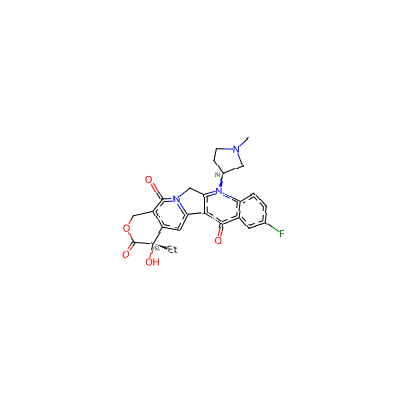 CC[C@@]1(O)C(=O)OCc2c1cc1n(c2=O)Cc2c-1c(=O)c1cc(F)ccc1n2[C@H]1CCN(C)C1